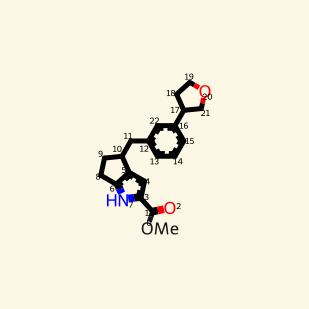 COC(=O)c1cc2c([nH]1)CCC2Cc1cccc(C2CCOC2)c1